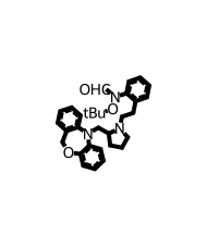 CC(C)(C)ON(C=O)c1ccccc1CCN1CCCC1CN1c2ccccc2COc2ccccc21